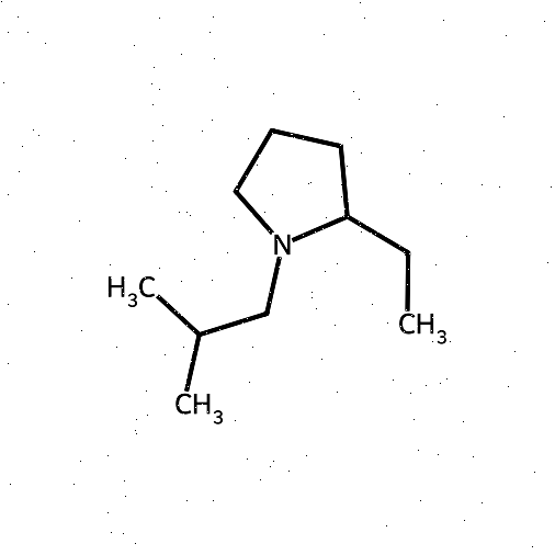 CCC1CCCN1CC(C)C